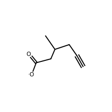 C#CCC(C)CC([O])=O